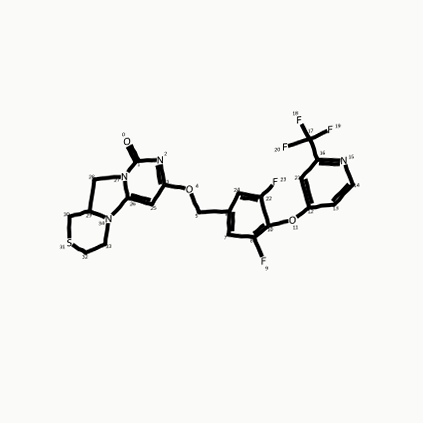 O=c1nc(OCc2cc(F)c(Oc3ccnc(C(F)(F)F)c3)c(F)c2)cc2n1CC1CSCCN21